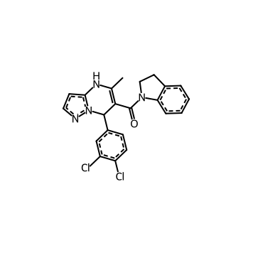 CC1=C(C(=O)N2CCc3ccccc32)C(c2ccc(Cl)c(Cl)c2)n2nccc2N1